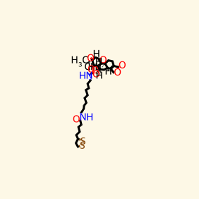 CC(C)[C@]12O[C@H]1[C@@H]1O[C@]13[C@]1(O[C@H]1C[C@H]1C4=C(CC[C@@]13C)C(=O)OC4)[C@@H]2OC(=O)NCCCCCCCCCCNC(=O)CCCCC1CCSS1